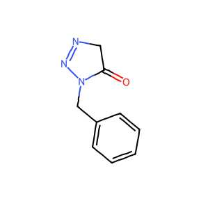 O=C1CN=NN1Cc1ccccc1